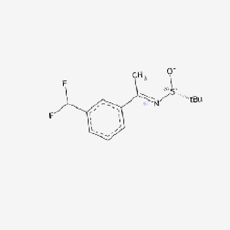 C/C(=N\[S@+]([O-])C(C)(C)C)c1cccc(C(F)F)c1